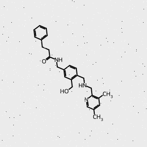 Cc1cnc(CNCc2ccc(CNC(=O)CCc3ccccc3)cc2CO)c(C)c1